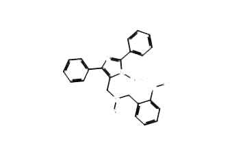 CCCCCn1c(-c2ccccc2)nc(-c2ccccc2)c1CN(CCCC)Cc1ccccc1OCC